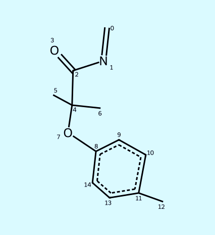 C=NC(=O)C(C)(C)Oc1ccc(C)cc1